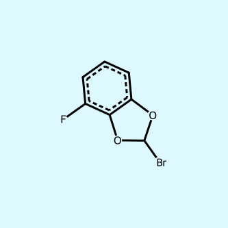 Fc1cccc2c1OC(Br)O2